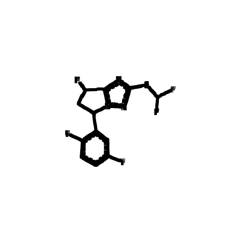 Fc1ccc(F)c(C2CC(F)c3nc(SC(F)F)nn32)c1